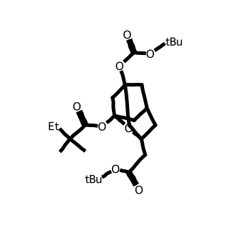 CCC(C)(C)C(=O)OC12CC3CC(OC(=O)OC(C)(C)C)(CC(CC(=O)OC(C)(C)C)(C3)O1)C2